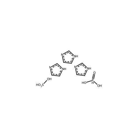 O=S(=O)(O)O.O=[PH](O)O.c1c[nH]cn1.c1c[nH]cn1.c1c[nH]cn1